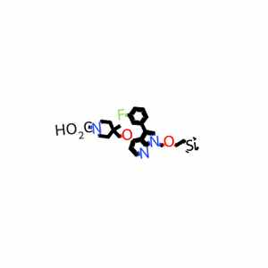 CC1(COc2ccnc3c2c(-c2cccc(F)c2)cn3COCC[Si](C)(C)C)CCN(C(=O)O)CC1